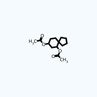 CC(=O)OC1CCC2(CCCC2)C(OC(C)=O)C1